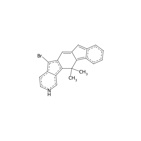 CC1(C)C2=c3ccccc3=CC2=Cc2c(Br)c3cc[nH]cc-3c21